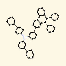 c1ccc(-c2ccc(N(c3cccc(-c4ccccc4)c3)c3cccc(-c4ccc5c(c4)c(-c4ccccc4)c(-c4ccccc4)c4ccccc45)c3)cc2)cc1